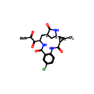 CNC(=O)C(=O)C(C[C@@H]1C[C@@H](C)NC1=O)NC(=O)c1cc(Cl)ccc1NC(=O)C1CC1C(F)(F)F